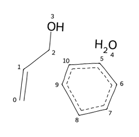 C=CCO.O.c1ccccc1